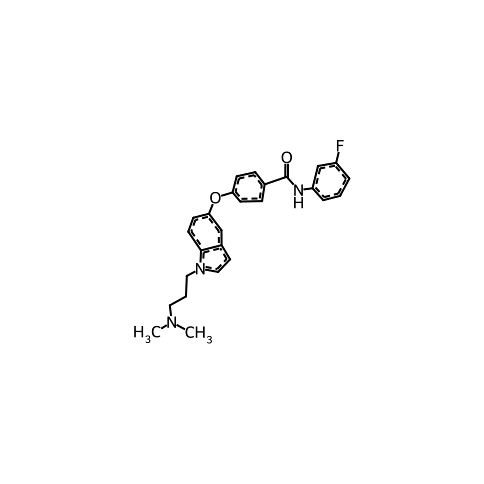 CN(C)CCCn1ccc2cc(Oc3ccc(C(=O)Nc4cccc(F)c4)cc3)ccc21